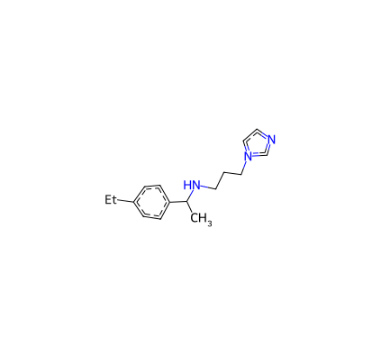 CCc1ccc(C(C)NCCCn2ccnc2)cc1